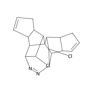 ClC1C2N=NC3C(Cl)C4C5CC=CC5C3C43C1C1CC=CC1C23